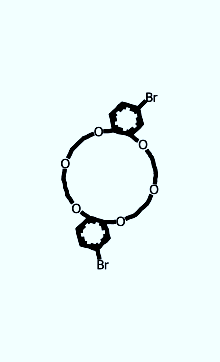 Brc1ccc2c(c1)OCCOCCOc1cc(Br)ccc1OCCOCCO2